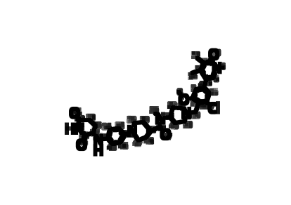 COc1cc(-c2cn(C)c(=O)c(C)c2C)cc(Cl)c1CN1CCC(N(C)C(=O)C2CCN(c3ccc(NC4CCC(=O)NC4=O)cc3)CC2)CC1